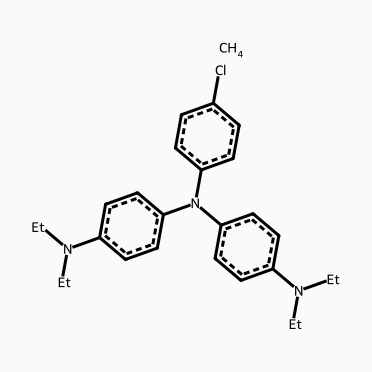 C.CCN(CC)c1ccc(N(c2ccc(Cl)cc2)c2ccc(N(CC)CC)cc2)cc1